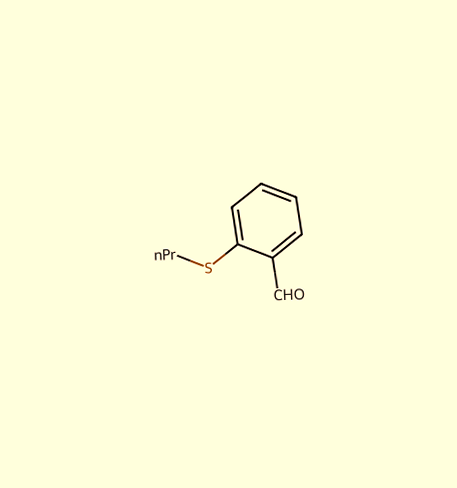 CCCSc1ccccc1C=O